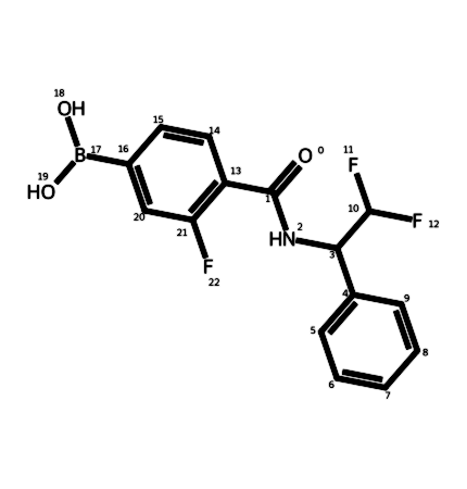 O=C(NC(c1ccccc1)C(F)F)c1ccc(B(O)O)cc1F